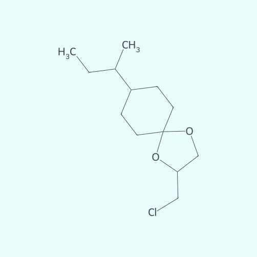 CCC(C)C1CCC2(CC1)OCC(CCl)O2